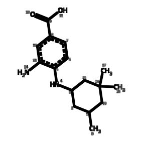 CC1CC(Nc2ccc(C(=O)O)cc2N)CC(C)(C)C1